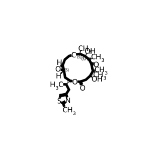 Cc1nc(CC(C)[C@@H]2C[C@@H]3O[C@@H]3CCC[C@H](C)[C@H](O)[C@@H](C)C(=O)C(C)(C)[C@@H](O)CC(=O)O2)cs1